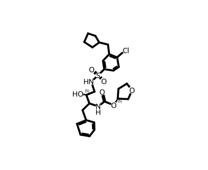 O=C(NC(Cc1ccccc1)[C@@H](O)CNS(=O)(=O)c1ccc(Cl)c(CC2CCCC2)c1)O[C@H]1CCOC1